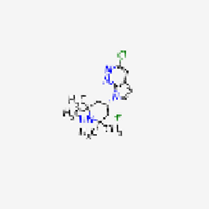 CC1(C)C[C@H](n2ccc3cc(Cl)nnc32)[C@H](F)C(C)(C)N1